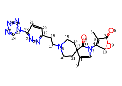 CC1=CN(C2=C(C)C(=O)OC2)C(=O)C12CCN(CCc1ccc(-n3cnnn3)nn1)CC2